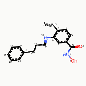 CNc1ccc(C(=O)NO)cc1/N=C/CCc1ccccc1